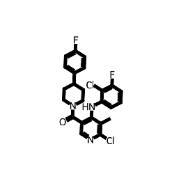 Cc1c(Cl)ncc(C(=O)N2CCC(c3ccc(F)cc3)CC2)c1Nc1cccc(F)c1Cl